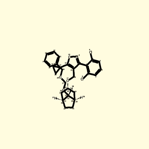 Clc1cccc(Cl)c1-c1noc(C2CC2)c1CO[C@@H]1C[C@H]2CC[C@@H](C1)[C@@H]2OCOCc1ccccc1